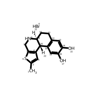 Br.Cc1cc2c(s1)CN[C@H]1CCc3cc(O)c(O)cc3[C@H]21